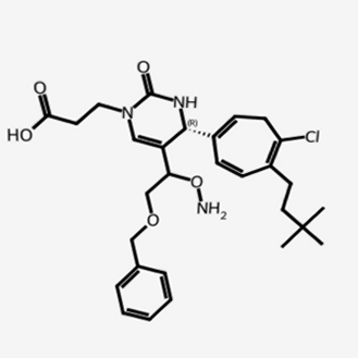 CC(C)(C)CCC1=C(Cl)CC=C([C@H]2NC(=O)N(CCC(=O)O)C=C2C(COCc2ccccc2)ON)C=C1